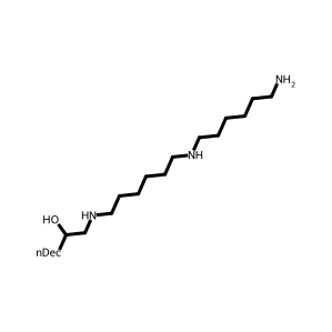 CCCCCCCCCCC(O)CNCCCCCCNCCCCCCN